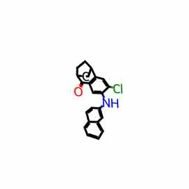 O=C1c2cc(Nc3ccc4ccccc4c3)c(Cl)cc2C2CCC1CC2